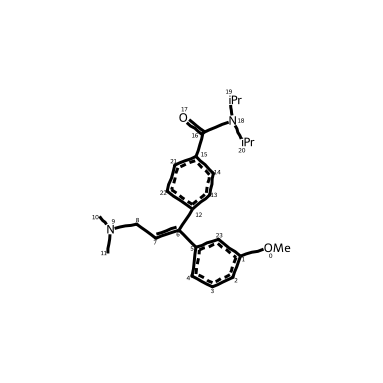 COc1cccc(/C(=C/CN(C)C)c2ccc(C(=O)N(C(C)C)C(C)C)cc2)c1